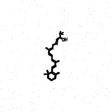 CC(=O)C(O)C=NCC=C(C)C=CC=C(C)C=CC1=C(C)CCCC1(C)C